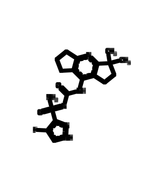 CC1(C)CCc2c1nc1c(c2NC(=O)N=S(N)(=O)c2n[nH]cc2F)CCC1